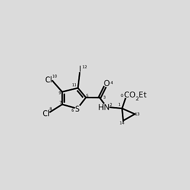 CCOC(=O)C1(NC(=O)c2sc(Cl)c(Cl)c2I)CC1